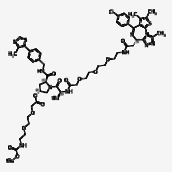 Cc1ncsc1-c1ccc(CNC(=O)[C@@H]2C[C@@H](OC(=O)COCCOCCNC(=O)OC(C)(C)C)CN2C(=O)[C@@H](NC(=O)COCCOCCOCCNC(=O)C[C@@H]2N=C(c3ccc(Cl)cc3)c3c(sc(C)c3C)-n3c(C)nnc32)C(C)(C)C)cc1